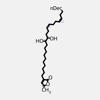 CCCCCCCCCCCC/C=C\CC/C=C\CC[C@@H](O)[C@H](O)CCCCCCCCCCC1=C[C@H](C)OC1=O